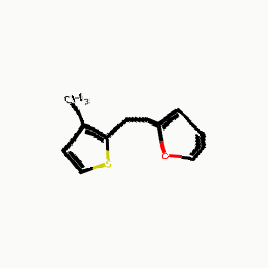 Cc1ccsc1Cc1ccco1